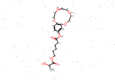 CC(O)C(=O)OCCCCCC(=O)Oc1ccc2c(c1)OCCOCCOCCO2